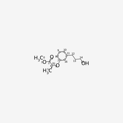 COC(=O)[C@H](C)Oc1cccc(CCCO)c1